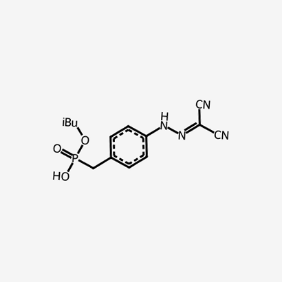 CCC(C)OP(=O)(O)Cc1ccc(NN=C(C#N)C#N)cc1